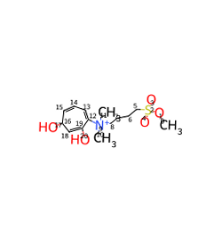 COS(=O)(=O)CCCC[N+](C)(C)C1=CC=CC(O)C=C1O